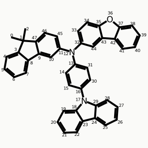 CC1(C)c2ccccc2-c2cc(N(c3ccc(-n4c5ccccc5c5ccccc54)cc3)c3ccc4oc5ccccc5c4c3)ccc21